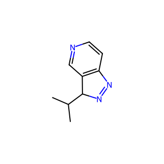 CC(C)C1N=Nc2ccncc21